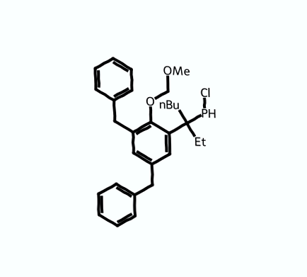 CCCCC(CC)(PCl)c1cc(Cc2ccccc2)cc(Cc2ccccc2)c1OCOC